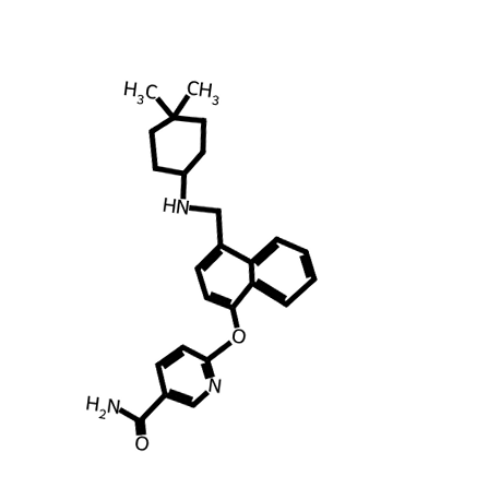 CC1(C)CCC(NCc2ccc(Oc3ccc(C(N)=O)cn3)c3ccccc23)CC1